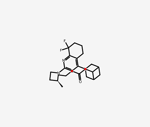 CCOC(=O)CC1C2CC1CN(c1nc(N3CC[C@@H]3C)nc3c1CCCC3(F)F)C2